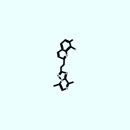 Cc1ccc2ccc(CCc3nc4c(C)ncc(C)n4n3)nc2c1F